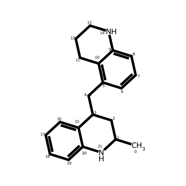 CC1CC([CH]c2cccc3c2CCCN3)c2ccccc2N1